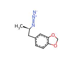 C[C@H](Cc1ccc2c(c1)OCO2)N=[N+]=[N-]